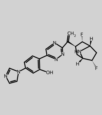 C=C(c1ncc(-c2ccc(-n3ccnc3)cc2O)nn1)[C@@H]1C[C@@H]2N[C@@H](C[C@@H]2F)[C@H]1F